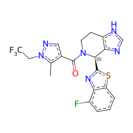 Cc1c(C(=O)N2CCc3[nH]cnc3[C@H]2c2nc3c(F)cccc3s2)cnn1CC(F)(F)F